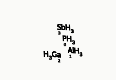 P.[AlH3].[GaH3].[SbH3]